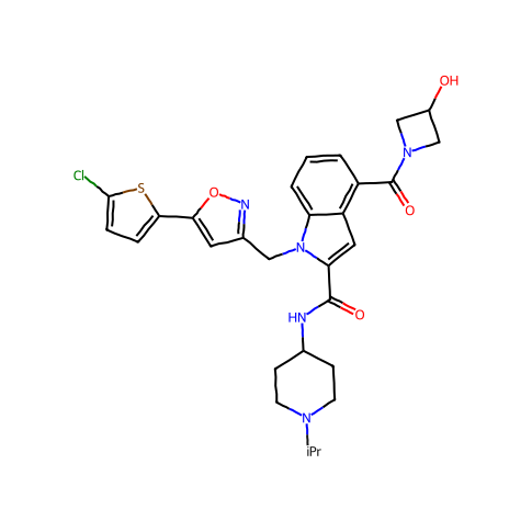 CC(C)N1CCC(NC(=O)c2cc3c(C(=O)N4CC(O)C4)cccc3n2Cc2cc(-c3ccc(Cl)s3)on2)CC1